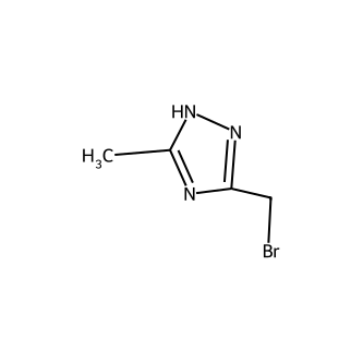 Cc1nc(CBr)n[nH]1